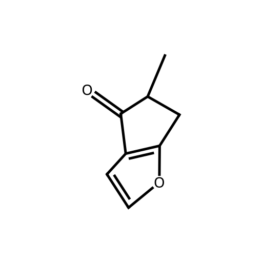 CC1Cc2occc2C1=O